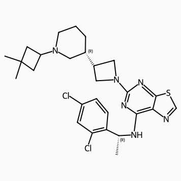 C[C@@H](Nc1nc(N2CC([C@H]3CCCN(C4CC(C)(C)C4)C3)C2)nc2scnc12)c1ccc(Cl)cc1Cl